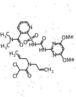 C=CCN(CC=C)C(=O)C(Cl)Cl.COc1cc(OC)nc(NC(=O)NS(=O)(=O)c2ncccc2C(=O)N(C)C)n1